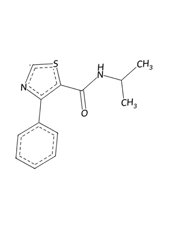 CC(C)NC(=O)c1s[c]nc1-c1ccccc1